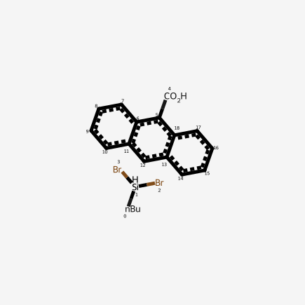 CCCC[SiH](Br)Br.O=C(O)c1c2ccccc2cc2ccccc12